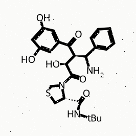 CC(C)(C)NC(=O)[C@@H]1CSCN1C(=O)[C@@H](O)[C@@H](C(=O)c1cc(O)cc(O)c1)C(N)c1ccccc1